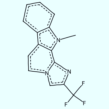 Cn1c2ccccc2c2ccn3cc(C(F)(F)F)nc3c21